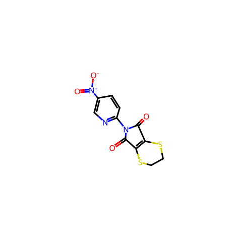 O=C1C2=C(SCCS2)C(=O)N1c1ccc([N+](=O)[O-])cn1